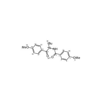 COc1ccc(C(=O)NN(C(=O)c2ccc(OC)cc2)C(C)(C)C)cc1